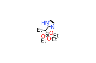 CCO[Si](OCC)(OCC)C(CC)c1ncc[nH]1